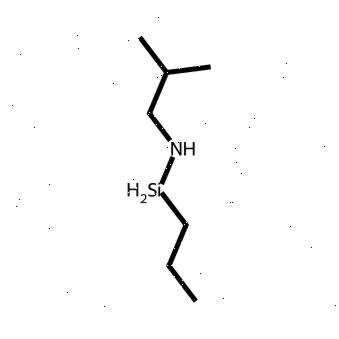 CCC[SiH2]NCC(C)C